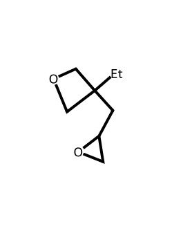 CCC1(CC2CO2)COC1